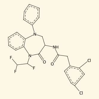 O=C(Cc1ccc(Cl)cc1Cl)NC1CN(c2ccccc2)c2ccccc2N(C(F)C(F)F)C1=O